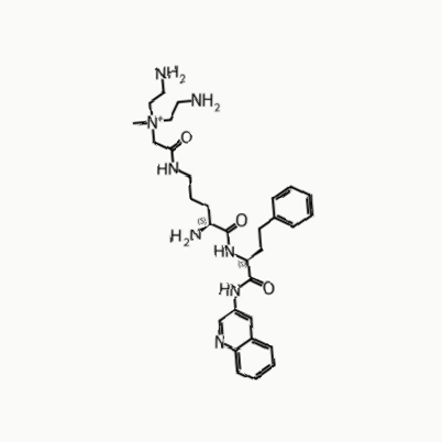 C[N+](CCN)(CCN)CC(=O)NCCC[C@H](N)C(=O)N[C@@H](CCc1ccccc1)C(=O)Nc1cnc2ccccc2c1